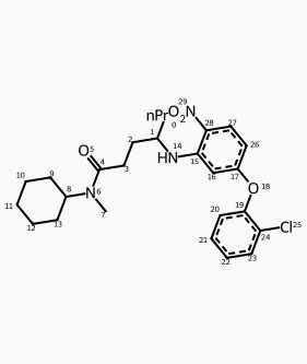 CCCC(CCC(=O)N(C)C1CCCCC1)Nc1cc(Oc2ccccc2Cl)ccc1[N+](=O)[O-]